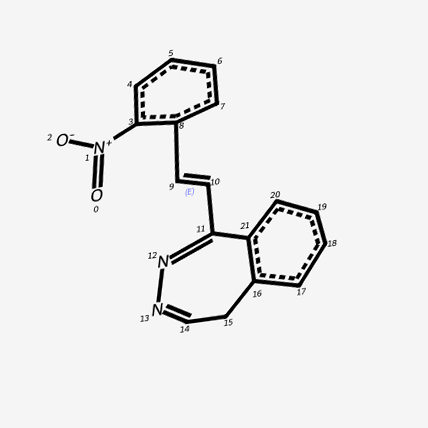 O=[N+]([O-])c1ccccc1/C=C/C1=NN=CCc2ccccc21